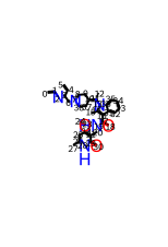 C=C/N=C(\C=C)CN1CCC([C@@H](C)n2c(C)c(C(=O)NCc3c(OC)cc(C)[nH]c3=O)c3ccccc32)CC1